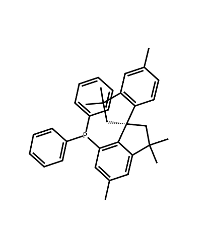 Cc1ccc2c(c1)C(C)(C)C[C@@]21CC(C)(C)c2cc(C)cc(P(c3ccccc3)c3ccccc3)c21